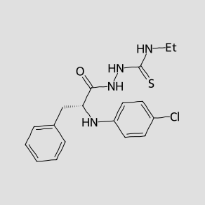 CCNC(=S)NNC(=O)[C@@H](Cc1ccccc1)Nc1ccc(Cl)cc1